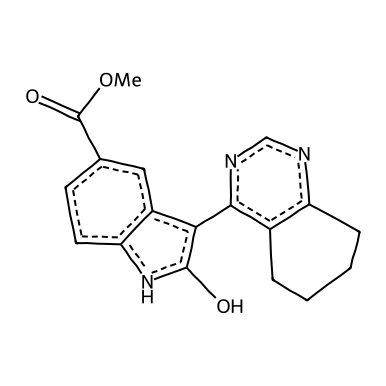 COC(=O)c1ccc2[nH]c(O)c(-c3ncnc4c3CCCC4)c2c1